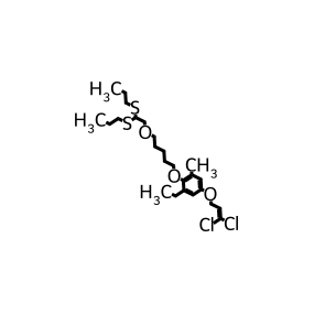 CCCSC(COCCCCCOc1c(C)cc(OCC=C(Cl)Cl)cc1CC)SCCC